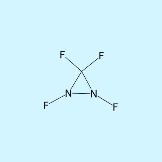 FN1N(F)C1(F)F